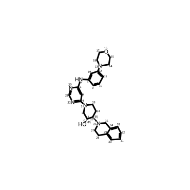 O[C@@H]1CN(c2cc(Nc3cccc(N4CCOCC4)c3)ncn2)CC[C@H]1N1CCc2ccccc2C1